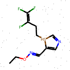 CCO/N=C/C1=CN=C[SH]1CCC(F)=C(F)F